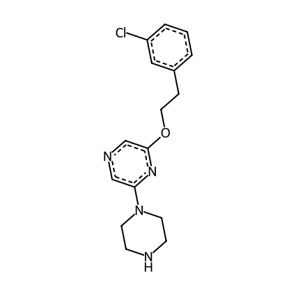 Clc1cccc(CCOc2cncc(N3CCNCC3)n2)c1